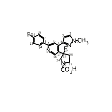 Cn1ccc(-c2cc(-c3ccc(F)cc3)ncc2C2(F)CCN(C(=O)O)C2)n1